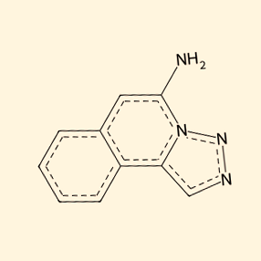 Nc1cc2ccccc2c2cnnn12